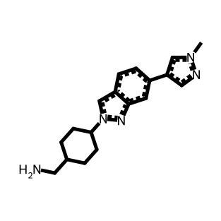 Cn1cc(-c2ccc3cn(C4CCC(CN)CC4)nc3c2)cn1